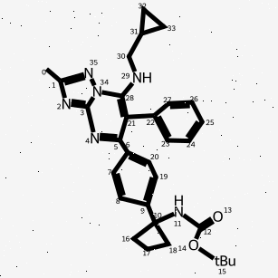 Cc1nc2nc(-c3ccc(C4(NC(=O)OC(C)(C)C)CCC4)cc3)c(-c3ccccc3)c(NCC3CC3)n2n1